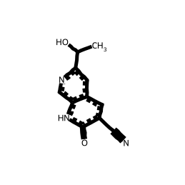 CC(O)c1cc2cc(C#N)c(=O)[nH]c2cn1